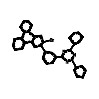 Brc1cc2c3ccccc3c3ccccc3c2cc1-c1cccc(-c2nc(-c3ccccc3)nc(-c3ccccc3)n2)c1